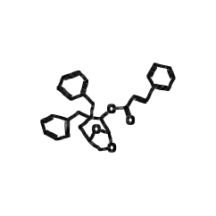 O=C(C=Cc1ccccc1)OC1C2OCC(CC1(Cc1ccccc1)Cc1ccccc1)O2